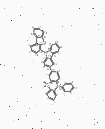 C[Si]1(C)c2ccccc2N(c2ccccc2)c2ccc(-c3ccc4c(c3)c3ccccc3n4-c3cccc4c3oc3ccccc34)cc21